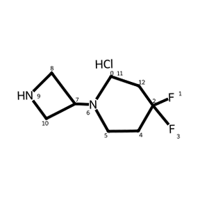 Cl.FC1(F)CCN(C2CNC2)CC1